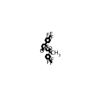 CN(C(=O)CN1N=C(c2ccc(C(F)(F)F)cc2)CCC1=O)c1cccc(C(F)(F)F)c1